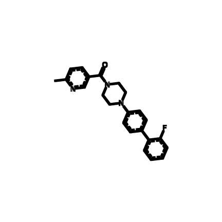 Cc1ccc(C(=O)N2CCN(c3ccc(-c4ccccc4F)cc3)CC2)cn1